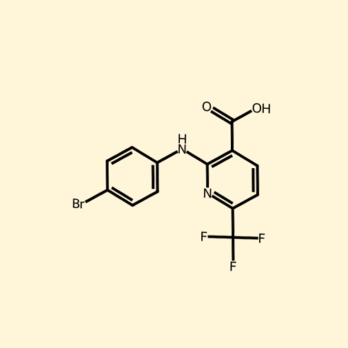 O=C(O)c1ccc(C(F)(F)F)nc1Nc1ccc(Br)cc1